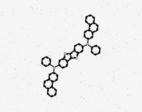 c1ccc(N(c2ccc3c(ccc4ccccc43)c2)c2ccc3c(c2)oc2c4ccc(N(c5ccccc5)c5ccc6c(ccc7ccccc76)c5)cc4sc32)cc1